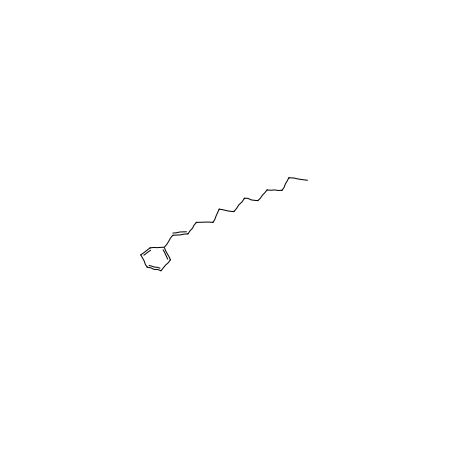 CCCCCCCCCCC=Cc1ccccc1